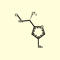 CC(C)(C)c1coc([C@H](NCl)C(F)(F)F)c1